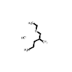 CCOCC(C)CCN.Cl